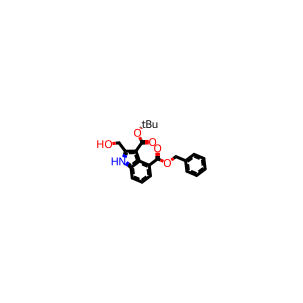 CC(C)(C)OC(=O)c1c(CO)[nH]c2cccc(C(=O)OCc3ccccc3)c12